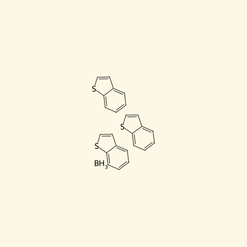 B.c1ccc2sccc2c1.c1ccc2sccc2c1.c1ccc2sccc2c1